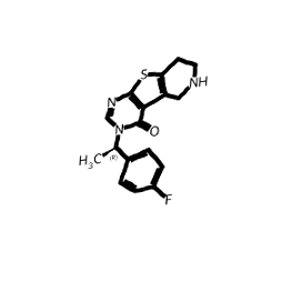 C[C@H](c1ccc(F)cc1)n1cnc2sc3c(c2c1=O)CNCC3